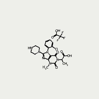 CC(C(=O)O)n1c(=O)c2c(nc(N3CCNCC3)n2-c2ccccc2Cl)n(C)c1=O.O=C(O)C(F)(F)F